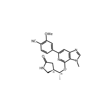 COc1cc(-c2cc3ncn(C)c3c(O[C@H](C)[C@H]3CNC(=O)C3)n2)ccc1C#N